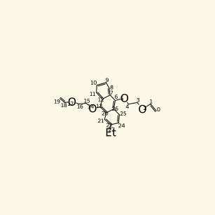 C=COCCOc1c2ccccc2c(OCCOC=C)c2cc(CC)ccc12